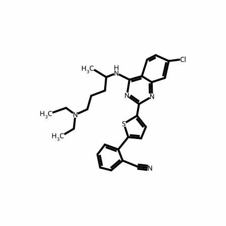 CCN(CC)CCCC(C)Nc1nc(-c2ccc(-c3ccccc3C#N)s2)nc2cc(Cl)ccc12